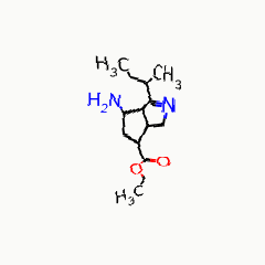 CCOC(=O)C1CC(N)C2C(C(C)CC)=NCC12